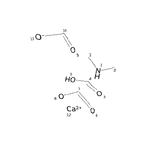 CNC.O=CO.O=C[O-].O=C[O-].[Ca+2]